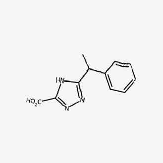 CC(c1ccccc1)c1nnc(C(=O)O)[nH]1